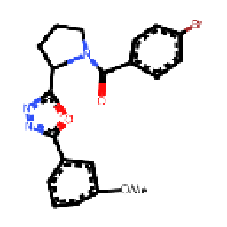 COc1cccc(-c2nnc(C3CCCN3C(=O)c3ccc(Br)cc3)o2)c1